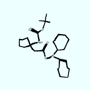 CC(C)(C)OC(=O)NC1(CC(=O)ON(C2CCCCC2)C2CCCCC2)CCCC1